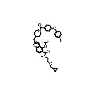 O=C(NCCOCC1CC1)c1ccc2nn(CC3CCN(C(=O)c4ccc(Oc5ccc(F)cc5)cc4)CC3)cc2c1OC(F)F